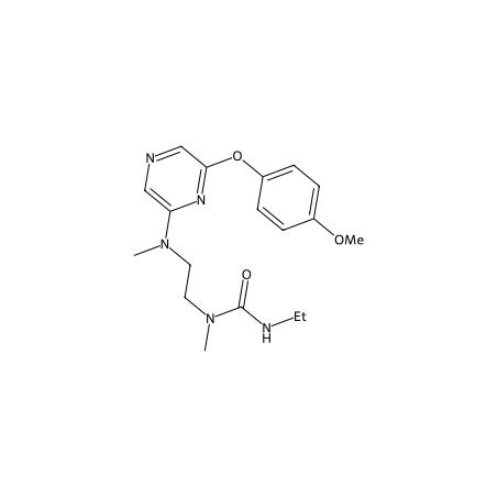 CCNC(=O)N(C)CCN(C)c1cncc(Oc2ccc(OC)cc2)n1